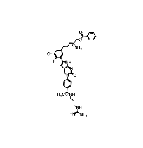 C[C@H](NCCCNC(=N)N)c1ccc(-n2cc3cc(-c4cc(CCC[C@@H](N)COC(=O)c5ccccc5)cc(Cl)c4F)[nH]c3nc2=O)cc1